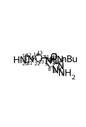 CCCCNc1nc(N)nc2ccn(Cc3ccc(N4CCNCC4)cc3)c(=O)c12